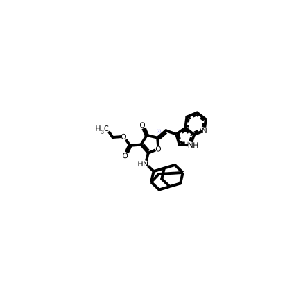 CCOC(=O)C1=C(NC2C3CC4CC(C3)CC2C4)O/C(=C\c2c[nH]c3ncccc23)C1=O